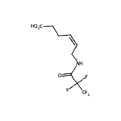 O=C(O)CC/C=C\CNC(=O)C(F)(F)C(F)(F)F